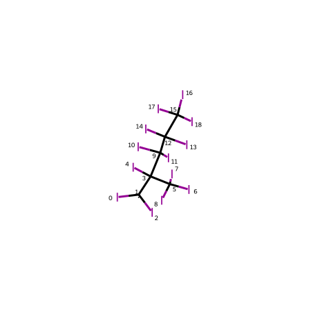 I[C](I)C(I)(C(I)(I)I)C(I)(I)C(I)(I)C(I)(I)I